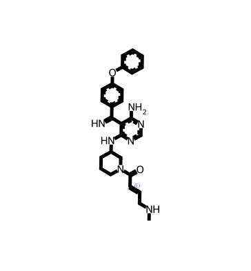 CNC/C=C/C(=O)N1CCCC(Nc2ncnc(N)c2C(=N)c2ccc(Oc3ccccc3)cc2)C1